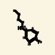 CCCCNc1ccc(F)cc1